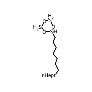 CCCCCCCCCCCCCC[SiH]1O[SiH2]O[SiH2]O1